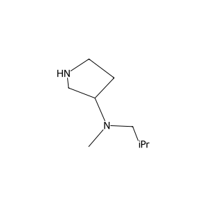 CC(C)CN(C)C1CCNC1